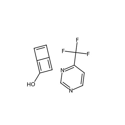 FC(F)(F)c1ccncn1.Oc1cc2ccc1-2